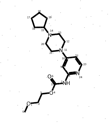 COCCOC(=O)Nc1cc(N2CCN(C3CCCC3)CC2)ccn1